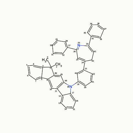 CC1(C)c2ccccc2-c2cc3c4ccccc4n(-c4cccc(C5=CC(c6ccccc6)=NC(c6ccccc6)=CC5)c4)c3cc21